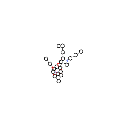 c1ccc(-c2ccc(-c3ccc(N(c4cccc(-c5ccccc5-c5cccc6c(-c7ccc8c(c7)oc7cccc(-c9ccccc9N(c9ccc(-c%10ccc(-c%11ccccc%11)cc%10)cc9)c9cccc(-c%10ccc(-c%11cccc%12ccccc%11%12)cc%10)c9)c78)cccc56)c4)c4ccccc4-c4cccc5oc6ccccc6c45)cc3)cc2)cc1